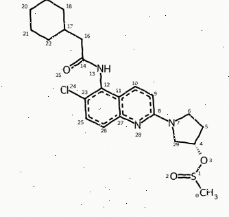 CS(=O)O[C@H]1CCN(c2ccc3c(NC(=O)CC4CCCCC4)c(Cl)ccc3n2)C1